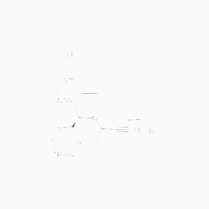 C#CC(=O)N1[C@@H](CCCC)Cc2cc(OC)cnc2[C@@H]1c1ccncc1